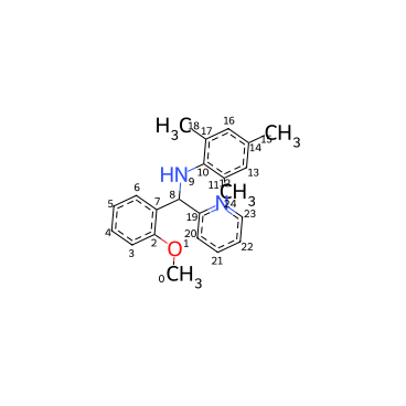 COc1ccccc1C(Nc1c(C)cc(C)cc1C)c1ccccn1